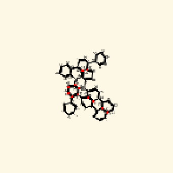 c1ccc(-c2ccc(-c3ccccc3N(c3ccc(-c4ccccc4)cc3)c3ccccc3N(c3ccc(-c4ccccc4)cc3)c3ccccc3-c3ccc(-c4ccccc4)cc3)cc2)cc1